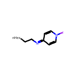 CCCCCCCCN=c1ccn(I)cc1